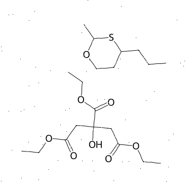 CCCC1CCOC(C)S1.CCOC(=O)CC(O)(CC(=O)OCC)C(=O)OCC